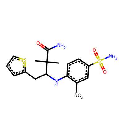 CC(C)(C(N)=O)C(Cc1cccs1)Nc1ccc(S(N)(=O)=O)cc1[N+](=O)[O-]